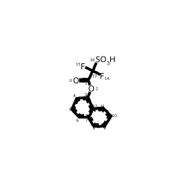 O=C(Oc1cccc2ccccc12)C(F)(F)S(=O)(=O)O